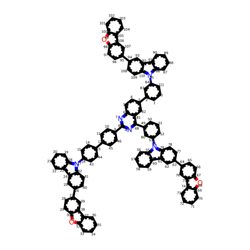 c1cc(-c2ccc3nc(-c4ccc(-c5ccc(-n6c7ccccc7c7cc(-c8ccc9oc%10ccccc%10c9c8)ccc76)cc5)cc4)nc(-c4cccc(-n5c6ccccc6c6cc(-c7ccc8oc9ccccc9c8c7)ccc65)c4)c3c2)cc(-n2c3ccccc3c3cc(-c4ccc5oc6ccccc6c5c4)ccc32)c1